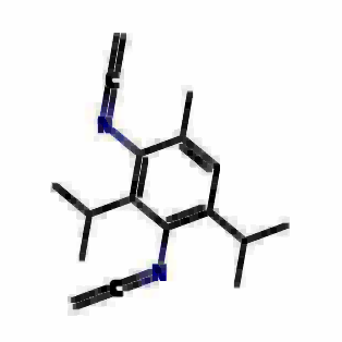 C=C=Nc1c(C)cc(C(C)C)c(N=C=C)c1C(C)C